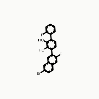 Oc1c(-c2ccccc2F)ccc(-c2cc3cc(Br)ccc3cc2F)c1O